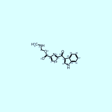 CNCOC(=O)c1csc(C(=O)c2c[nH]c3ccccc23)n1